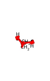 C=CCc1ccc(OCCCCCCCCCCCC[PH](c2ccccc2)(c2ccccc2)c2ccccc2)c(-c2ccc(OCCCCCCCCCCCC[PH](c3ccccc3)(c3ccccc3)c3ccccc3)c(CC=C)c2)c1